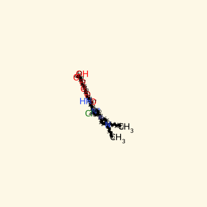 CCCCCCN(CCCCCC)c1ccc(/C=C/c2cc[n+](CCCC(=O)NCCOCCOCCOCCC(=O)O)cc2)cc1.[Cl-]